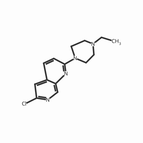 CCN1CCN(c2ccc3cc(Cl)ncc3n2)CC1